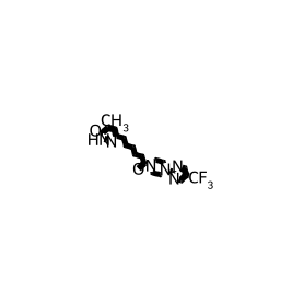 Cc1cc(CCCCCC(=O)N2CCN(c3ncc(C(F)(F)F)cn3)CC2)n[nH]c1=O